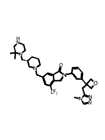 Cn1cnnc1CC1(c2cccc(N3Cc4c(cc(CN5CCC[C@H](CN6CCNCC6(C)C)C5)cc4C(F)(F)F)C3=O)c2)COC1